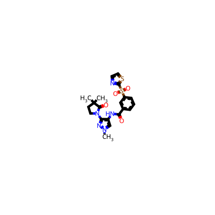 Cn1cc(NC(=O)c2cccc(S(=O)(=O)c3nccs3)c2)c(N2CCC(C)(C)C2=O)n1